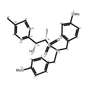 COc1ccc(CN(Cc2ccc(OC)cc2)S(=O)(=O)[C@@H](C)[C@H](O)c2ncc(C)cn2)cc1